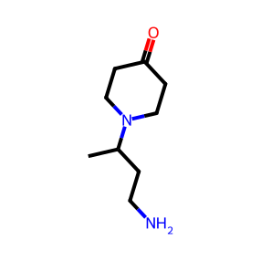 CC(CCN)N1CCC(=O)CC1